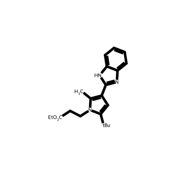 CCOC(=O)CCn1c(C(C)(C)C)cc(-c2nc3ccccc3[nH]2)c1C